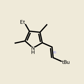 CCc1c(C)[nH]c(/C=C/C(C)(C)C)c1C